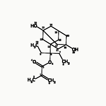 C=C(C)C(=O)OC(CC)(CC)C12CC3CC(O)(CC(O)(C3)C1)C2